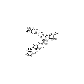 CC1(O)CCN(C2CCN(C(=O)[C@@H](Cc3ccc(O)c(Cl)c3)OC(=O)N3CCC(N4CCc5ccccc5NC4=O)CC3)CC2)CC1